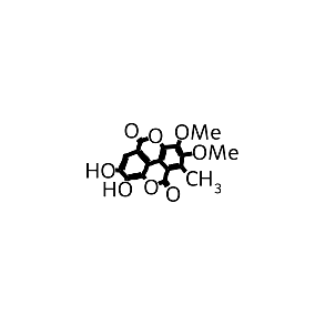 COc1c(OC)c2oc(=O)c3cc(O)c(O)c4oc(=O)c(c1C)c2c43